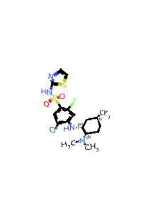 CN(C)[C@@H]1CC[C@H](C(F)(F)F)C[C@H]1Nc1cc(F)c(S(=O)(=O)Nc2nccs2)cc1Cl